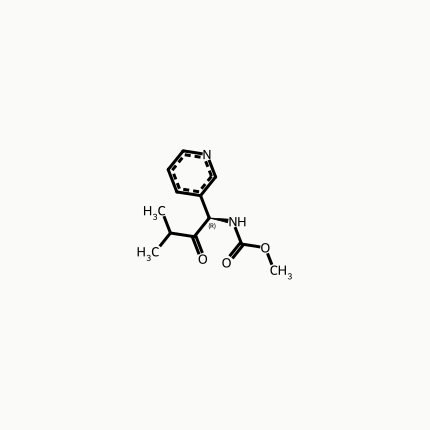 COC(=O)N[C@@H](C(=O)C(C)C)c1cccnc1